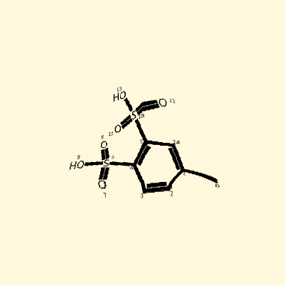 Cc1[c]cc(S(=O)(=O)O)c(S(=O)(=O)O)c1